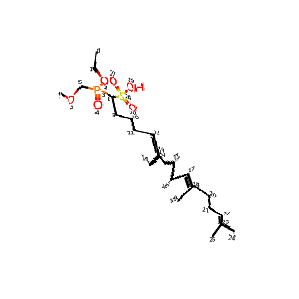 CCOP(=O)(COC)C(CCC/C=C(\C)CC/C=C(\C)CCC=C(C)C)S(=O)(=O)O